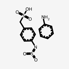 Nc1ccccc1.O=S(=O)=Nc1ccc(CS(=O)(=O)O)cc1